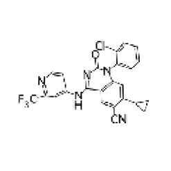 N#Cc1cc2c(Nc3ccnc(C(F)(F)F)c3)nc(=O)n(-c3ccccc3Cl)c2cc1C1CC1